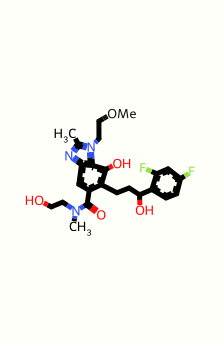 COCCn1c(C)nc2cc(C(=O)N(C)CCO)c(CCC(O)c3ccc(F)cc3F)c(O)c21